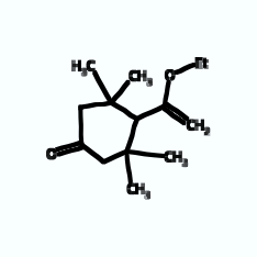 C=C(OCC)C1C(C)(C)CC(=O)CC1(C)C